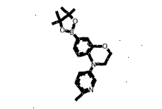 Cc1ccc(N2CCOc3cc(B4OC(C)(C)C(C)(C)O4)ccc32)cn1